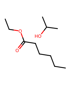 CC(C)O.CCCCCC(=O)OCC